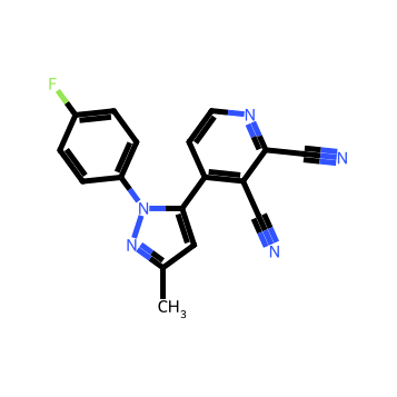 Cc1cc(-c2ccnc(C#N)c2C#N)n(-c2ccc(F)cc2)n1